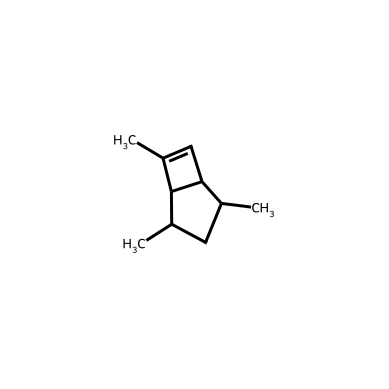 CC1=CC2C(C)CC(C)C12